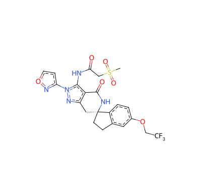 CS(=O)(=O)CC(=O)Nc1c2c(nn1-c1ccon1)C[C@]1(CCc3cc(OCC(F)(F)F)ccc31)NC2=O